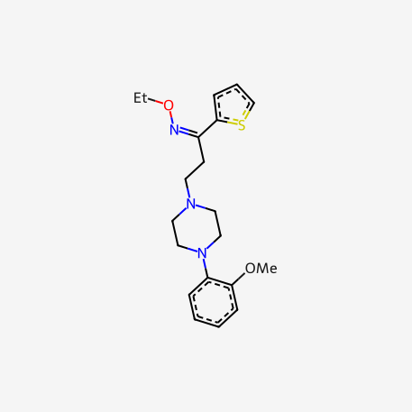 CCON=C(CCN1CCN(c2ccccc2OC)CC1)c1cccs1